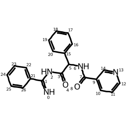 N=C(NC(=O)C(NC(=O)c1cccnc1)c1ccccc1)c1ccccc1